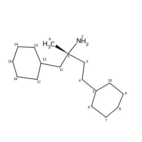 C[C@@](N)(CCC1CCCCC1)CC1CCCCC1